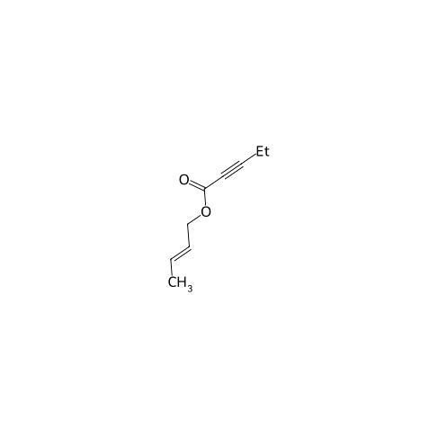 CC=CCOC(=O)C#CCC